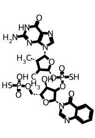 CC1[C@@H](OP(=O)(S)OC2[C@H](n3cnc4ccccc4c3=O)O[C@H](COP(=O)(O)S)[C@H]2O)O[C@@H](n2cnc3c(=O)[nH]c(N)nc32)[C@H]1C